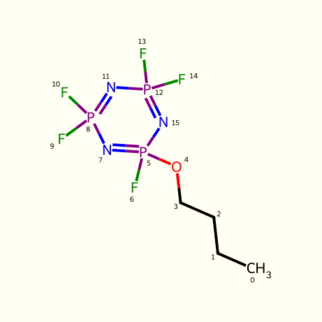 CCCCOP1(F)=NP(F)(F)=NP(F)(F)=N1